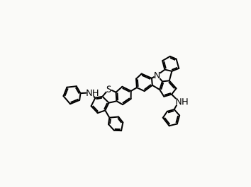 c1ccc(Nc2cc3c4ccccc4n4c5ccc(-c6ccc7c(c6)sc6c(Nc8ccccc8)ccc(-c8ccccc8)c67)cc5c(c2)c34)cc1